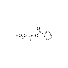 CC(=COC(=O)c1ccccc1)C(=O)O